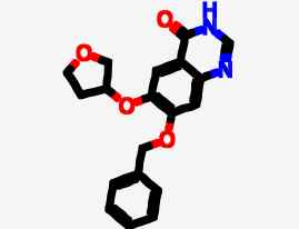 O=c1[nH]cnc2cc(OCc3ccccc3)c(OC3CCOC3)cc12